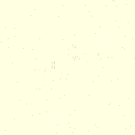 Cc1noc(-c2ccc(C(=O)NC(Cc3ccc(Cl)cc3)C(=O)O)cc2)c1NC(=O)OC(C)c1ccccc1F